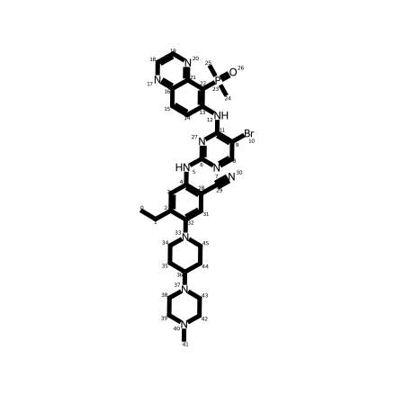 CCc1cc(Nc2ncc(Br)c(Nc3ccc4nccnc4c3P(C)(C)=O)n2)c(C#N)cc1N1CCC(N2CCN(C)CC2)CC1